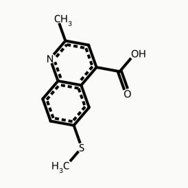 CSc1ccc2nc(C)cc(C(=O)O)c2c1